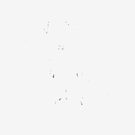 Nc1nc2c(sc(=S)n2[C@@H]2O[C@H](CO)[C@@H](O)[C@H]2F)c(=O)[nH]1